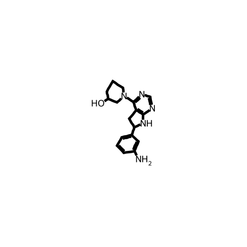 Nc1cccc(C2Cc3c(ncnc3N3CCCC(O)C3)N2)c1